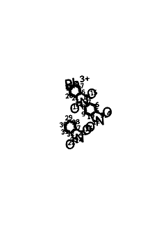 O=C1[N-]C(=O)c2ccccc21.O=C1[N-]C(=O)c2ccccc21.O=C1[N-]C(=O)c2ccccc21.[Rh+3]